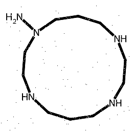 NN1CCCNCCNCCCNCC1